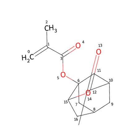 C=C(C)C(=O)OC12CC3CC(C1)C(=O)OC2C3